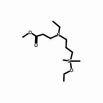 CCO[Si](C)(C)CCCN(CC)CCC(=O)OC